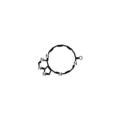 O=C1CC=CC=CC=CN=c2ncnc3c2=C(C=NC=CC=N1)C=N3